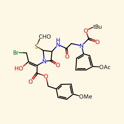 COc1ccc(COC(=O)C(=C(O)CBr)N2C(=O)C(NC(=O)CN(C(=O)OC(C)(C)C)c3cccc(OC(C)=O)c3)C2SC=O)cc1